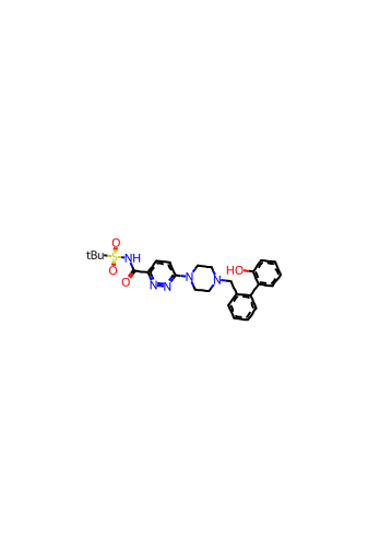 CC(C)(C)S(=O)(=O)NC(=O)c1ccc(N2CCN(Cc3ccccc3-c3ccccc3O)CC2)nn1